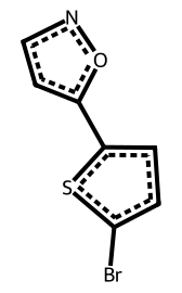 Brc1ccc(-c2ccno2)s1